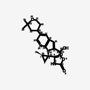 C[C@H]1C[C@]1(c1noc(=O)[nH]1)n1c(C(=O)O)cc2cc(C3CCOC(C)(C)C3)cnc21